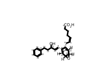 O=C(O)CCC/C=C\C[C@H]1[C@@H](/C=C/C(O)CCc2ccccc2)[C@@H]2O[C@H]1[C@@H]1O[C@@H]12